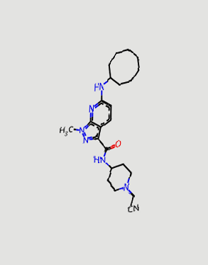 Cn1nc(C(=O)NC2CCN(CC#N)CC2)c2ccc(NC3CCCCCCC3)nc21